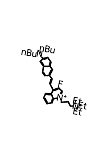 CCCCN(CCCC)c1ccc2cc(/C=C/c3c(F)c[n+](CCC[N+](CC)(CC)CC)c4ccccc34)ccc2c1